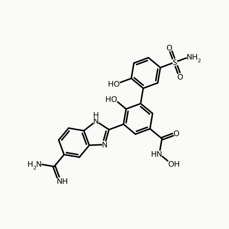 N=C(N)c1ccc2[nH]c(-c3cc(C(=O)NO)cc(-c4cc(S(N)(=O)=O)ccc4O)c3O)nc2c1